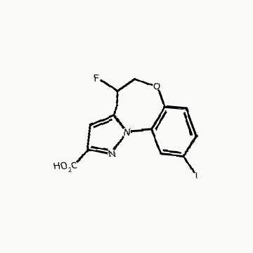 O=C(O)c1cc2n(n1)-c1cc(I)ccc1OCC2F